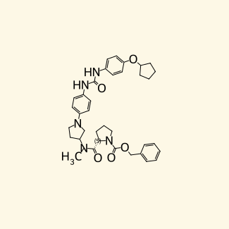 CN(C(=O)[C@@H]1CCCN1C(=O)OCc1ccccc1)C1CCN(c2ccc(NC(=O)Nc3ccc(OC4CCCC4)cc3)cc2)C1